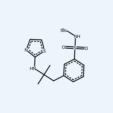 CC(C)(C)NS(=O)(=O)c1cccc(CC(C)(C)Nc2nccs2)c1